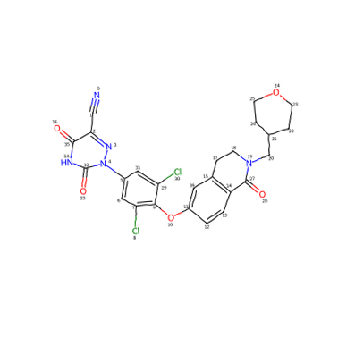 N#Cc1nn(-c2cc(Cl)c(Oc3ccc4c(c3)CCN(CC3CCOCC3)C4=O)c(Cl)c2)c(=O)[nH]c1=O